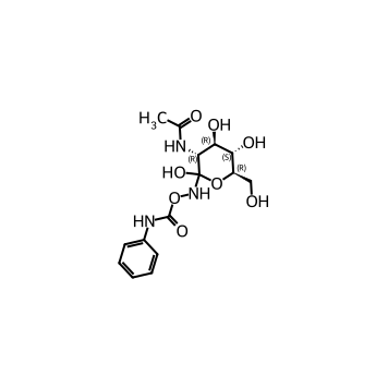 CC(=O)N[C@@H]1[C@@H](O)[C@H](O)[C@@H](CO)OC1(O)NOC(=O)Nc1ccccc1